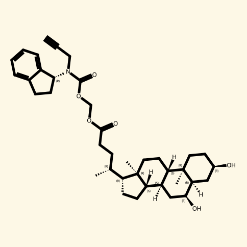 C#CCN(C(=O)OCOC(=O)CC[C@@H](C)[C@H]1CC[C@H]2[C@@H]3C[C@H](O)[C@@H]4C[C@H](O)CC[C@]4(C)[C@H]3CC[C@]12C)[C@@H]1CCc2ccccc21